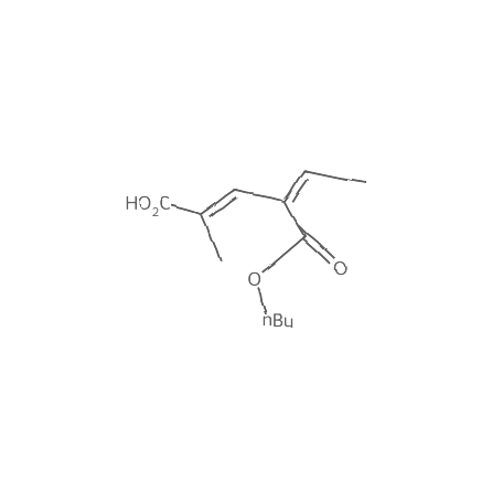 CC=C(C=C(C)C(=O)O)C(=O)OCCCC